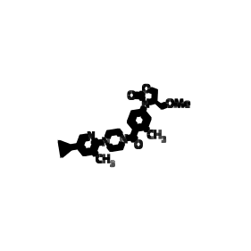 COC[C@@H]1COC(=O)N1c1ccc(C(=O)N2CCN(c3ncc(C4CC4)cc3C)CC2)c(C)c1